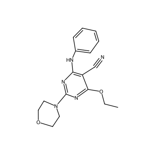 CCOc1nc(N2CCOCC2)nc(Nc2ccccc2)c1C#N